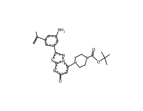 C=C(C)c1cc(N)cc(-c2nn3c(N4CCN(C(=O)OC(C)(C)C)CC4)cc(=O)nc3s2)c1